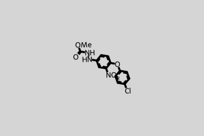 COC(=O)NNc1ccc(Oc2ccc(Cl)cc2)c([N+](=O)[O-])c1